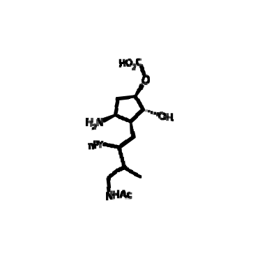 CCCC(C[C@@H]1[C@@H](O)[C@H](OC(=O)O)C[C@@H]1N)C(C)CNC(C)=O